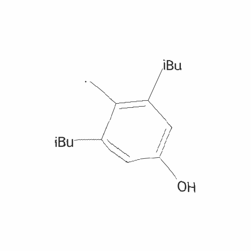 [CH2]c1c(C(C)CC)cc(O)cc1C(C)CC